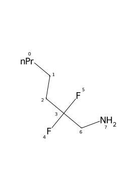 CCCCCC(F)(F)CN